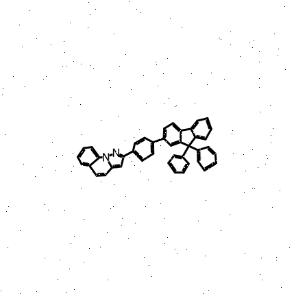 c1ccc(C2(c3ccccc3)c3ccccc3-c3ccc(-c4ccc(-c5cc6ccc7ccccc7n6n5)cc4)cc32)cc1